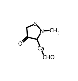 CN1SCC(=O)[CH]1[Ca][CH]=O